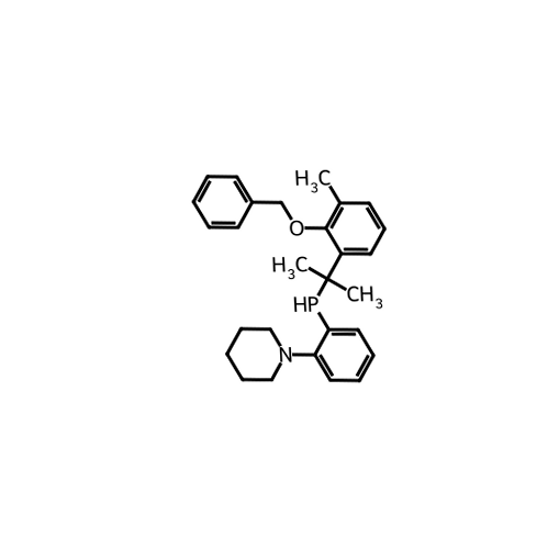 Cc1cccc(C(C)(C)Pc2ccccc2N2CCCCC2)c1OCc1ccccc1